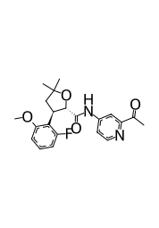 COc1cccc(F)c1[C@H]1CC(C)(C)O[C@@H]1C(=O)Nc1ccnc(C(C)=O)c1